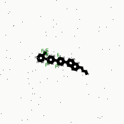 C=CCCc1ccc2cc(-c3cc(F)c(-c4ccc(-c5ccccc5C(F)(F)F)c(F)c4)c(F)c3)ccc2c1